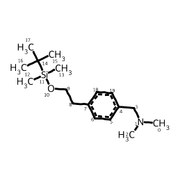 CN(C)Cc1ccc(CCO[Si](C)(C)C(C)(C)C)cc1